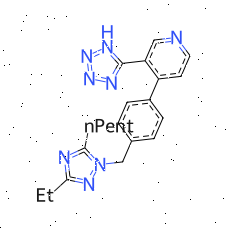 CCCCCc1nc(CC)nn1Cc1ccc(-c2ccncc2-c2nnn[nH]2)cc1